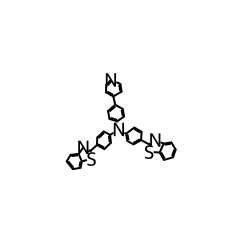 c1ccc2sc(-c3ccc(N(c4ccc(-c5ccncc5)cc4)c4ccc(-c5nc6ccccc6s5)cc4)cc3)nc2c1